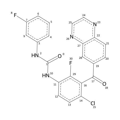 O=C(Nc1cccc(F)c1)Nc1ccc(Cl)c(C(=O)c2ccc3nccnc3c2)c1F